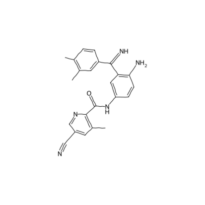 Cc1ccc(C(=N)c2cc(NC(=O)c3ncc(C#N)cc3C)ccc2N)cc1C